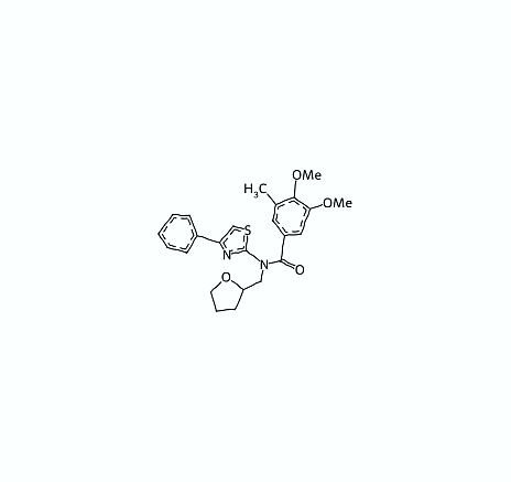 COc1cc(C(=O)N(CC2CCCO2)c2nc(-c3ccccc3)cs2)cc(C)c1OC